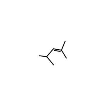 C[C](C)C=C(C)C